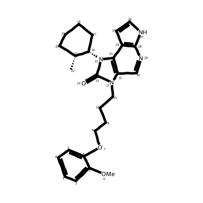 COc1ccccc1OCCCCn1c(=O)n([C@H]2CCCC[C@H]2C)c2c3cc[nH]c3ncc21